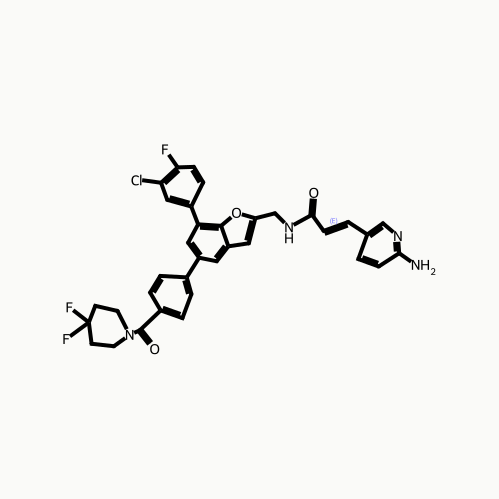 Nc1ccc(/C=C/C(=O)NCc2cc3cc(-c4ccc(C(=O)N5CCC(F)(F)CC5)cc4)cc(-c4ccc(F)c(Cl)c4)c3o2)cn1